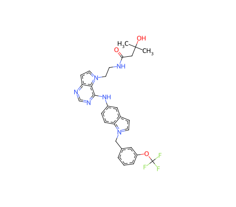 CC(C)(O)CC(=O)NCCn1ccc2ncnc(Nc3ccc4c(ccn4Cc4cccc(OC(F)(F)F)c4)c3)c21